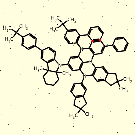 CC1(C)Cc2ccc(N3c4cc5c(cc4B4c6cc(-c7ccccc7)ccc6N(c6ccc(C(C)(C)C)cc6-c6ccccc6)c6cc(N7c8ccc(-c9ccc(C(C)(C)C)cc9)cc8C8(C)CCCCC78C)cc3c64)CC(C)(C)C5)cc2C1